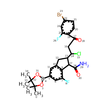 CC1(C)OB(c2cc(F)c3c(c2)CC(C(Cl)CC(=O)c2ccc(Br)cc2F)C3C(N)=O)OC1(C)C